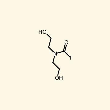 O=C(I)N(CCO)CCO